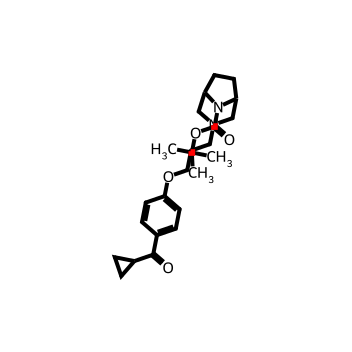 CC(C)(C)OC(=O)N1C2CCC1CN(CCCOc1ccc(C(=O)C3CC3)cc1)C2